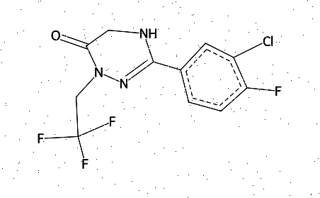 O=C1CNC(c2ccc(F)c(Cl)c2)=NN1CC(F)(F)F